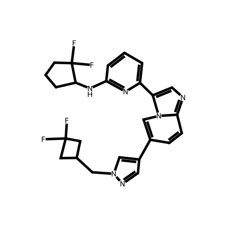 FC1(F)CC(Cn2cc(-c3ccc4ncc(-c5cccc(NC6CCCC6(F)F)n5)n4c3)cn2)C1